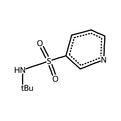 CC(C)(C)NS(=O)(=O)c1cccnc1